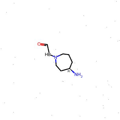 N[C@@H]1CCCN(BC=O)CC1